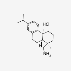 CC(C)c1ccc2c(c1)CC[C@H]1[C@](C)(CN)CCC[C@]21C.Cl